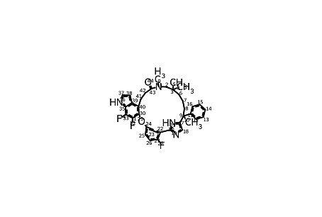 CN1CC(C)(C)CCCC(C)(c2ccccc2)c2cnc([nH]2)-c2cc(ccc2F)Oc2c(F)c(F)c3[nH]ccc3c2CCC1=O